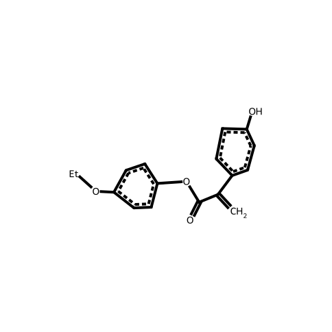 C=C(C(=O)Oc1ccc(OCC)cc1)c1ccc(O)cc1